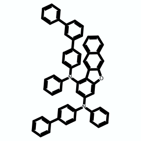 c1ccc(-c2ccc(N(c3ccccc3)c3cc(N(c4ccccc4)c4ccc(-c5cccc(-c6ccccc6)c5)cc4)c4c(c3)oc3cc5ccccc5cc34)cc2)cc1